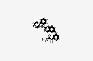 CC(=O)Nc1cc(Oc2ccc3nc(Nc4ccccc4N4CCOCC4)ncc3c2)ccn1